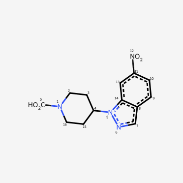 O=C(O)N1CCC(n2ncc3ccc([N+](=O)[O-])cc32)CC1